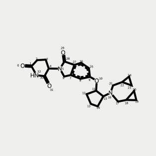 O=C1CCC(N2Cc3cc(OC4CCCC4N(CC4CC4)CC4CC4)ccc3C2=O)C(=O)N1